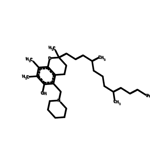 Cc1c(C)c2c(c(CN3CCCCC3)c1O)CCC(C)(CCCC(C)CCCC(C)CCCC(C)C)O2